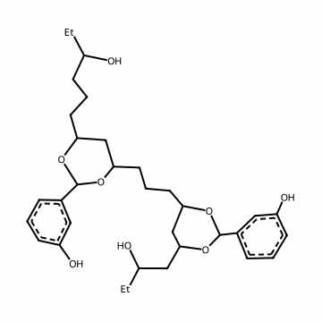 CCC(O)CCCC1CC(CCCC2CC(CC(O)CC)OC(c3cccc(O)c3)O2)OC(c2cccc(O)c2)O1